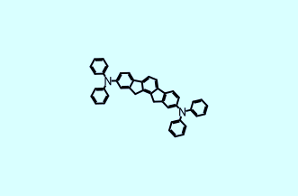 c1ccc(N(c2ccccc2)c2ccc3c(c2)Cc2c-3ccc3c2Cc2cc(N(c4ccccc4)c4ccccc4)ccc2-3)cc1